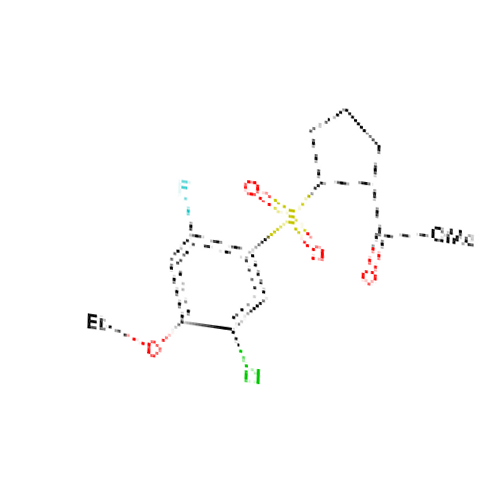 CCOc1cc(F)c(S(=O)(=O)C2CCCC2C(=O)OC)cc1Cl